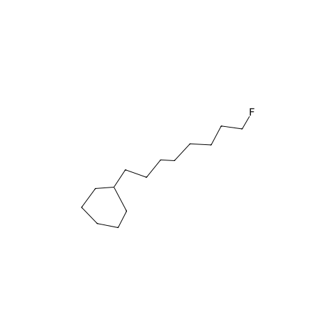 FCCCCCCCCC1CCCCC1